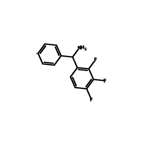 NC(c1cc[c]cc1)c1ccc(F)c(F)c1F